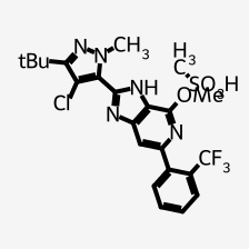 COc1nc(-c2ccccc2C(F)(F)F)cc2nc(-c3c(Cl)c(C(C)(C)C)nn3C)[nH]c12.CS(=O)(=O)O